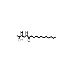 CCCCCCCCCCCC(=O)NCNC(C)O